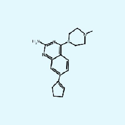 CN1CCN(c2nc(N)nc3cc(C4=CCCC4)ccc23)CC1